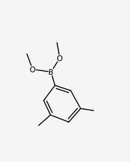 COB(OC)c1cc(C)cc(C)c1